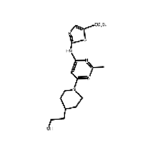 CCOC(=O)c1cnc(Nc2cc(N3CCC(CCO)CC3)nc(C)n2)s1